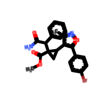 COC(=O)C1(C(C(N)=O)c2ccccc2)CC1c1c(C)noc1-c1ccc(Br)cc1